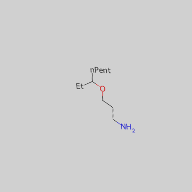 CCCCCC(CC)OCCCN